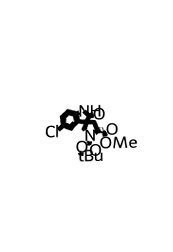 COC(=O)[C@@H]1CC2(CN1C(=O)OC(C)(C)C)C(=O)Nc1ccc(Cl)cc12